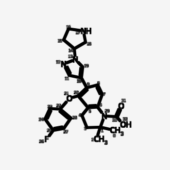 CC1(C)CCc2c(ccc(-c3cnn(C4CCNC4)c3)c2Oc2ccc(F)cc2)N1C(=O)O